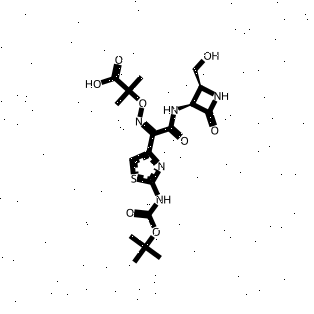 CC(C)(C)OC(=O)Nc1nc(C(=NOC(C)(C)C(=O)O)C(=O)N[C@@H]2C(=O)N[C@@H]2CO)cs1